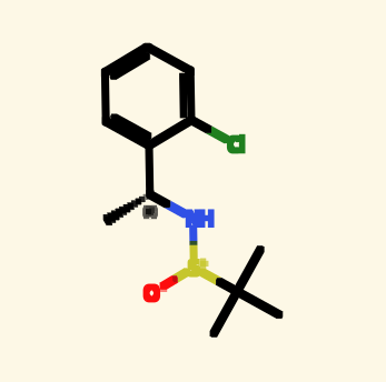 C[C@@H](N[S+]([O-])C(C)(C)C)c1ccccc1Cl